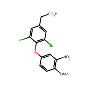 CNc1ccc(Oc2c(Br)cc(CC(=O)O)cc2Br)cc1[N+](=O)[O-]